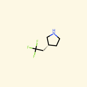 FC(F)(F)C[C@H]1CCNC1